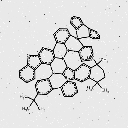 CC(C)(C)c1ccc(N2c3sc4cc5c(cc4c3B3c4c(cc6oc7ccccc7c6c42)-c2cccc4c2N3c2ccccc2[Si]42c3ccccc3-c3ccccc32)C(C)(C)CCC5(C)C)c(-c2ccccc2)c1